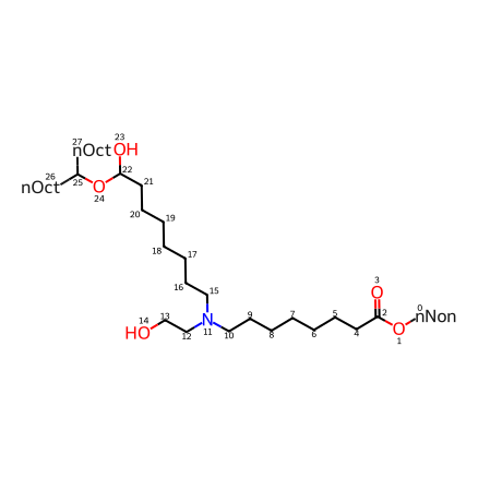 CCCCCCCCCOC(=O)CCCCCCCN(CCO)CCCCCCCC(O)OC(CCCCCCCC)CCCCCCCC